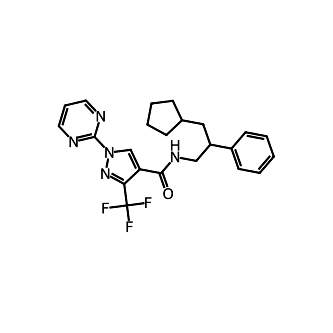 O=C(NCC(CC1CCCC1)c1ccccc1)c1cn(-c2ncccn2)nc1C(F)(F)F